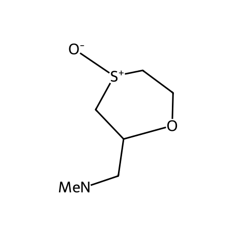 CNCC1C[S+]([O-])CCO1